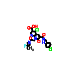 CC1(F)CN(C(=O)Cn2c(=O)c(C(=O)NCc3ccc(Cl)cc3)cc3c(Cl)c(C(=O)O)cnc32)C1